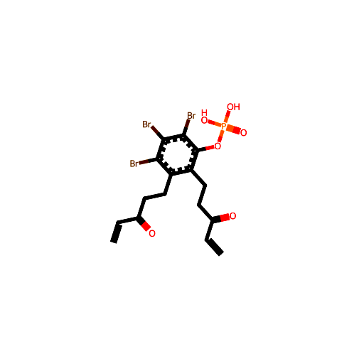 C=CC(=O)CCc1c(Br)c(Br)c(Br)c(OP(=O)(O)O)c1CCC(=O)C=C